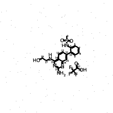 CS(=O)(=O)Nc1ccccc1-c1ccc2c(NCCO)nc(N)nc2c1.O=C(O)C(F)(F)F